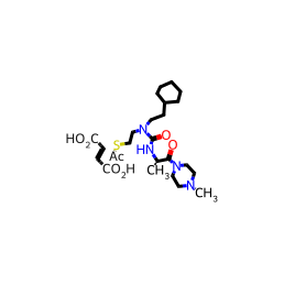 CC(=O)SCCN(CCC1CCCCC1)C(=O)N[C@@H](C)C(=O)N1CCN(C)CC1.O=C(O)C=CC(=O)O